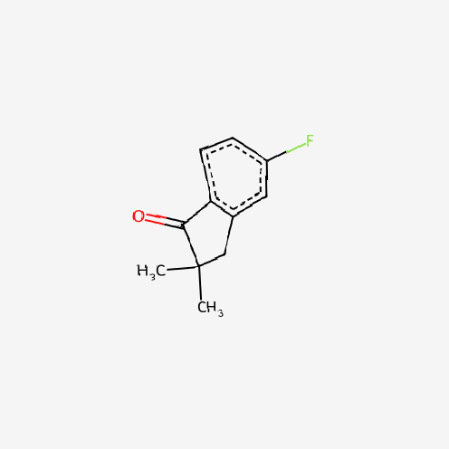 CC1(C)Cc2cc(F)ccc2C1=O